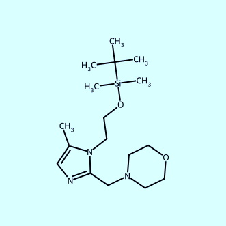 Cc1cnc(CN2CCOCC2)n1CCO[Si](C)(C)C(C)(C)C